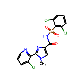 Cn1cc(C(=O)NS(=O)(=O)c2c(Cl)cccc2Cl)nc1-c1ncccc1Cl